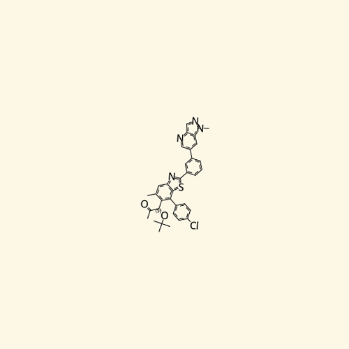 CC(=O)[C@@H](OC(C)(C)C)c1c(C)cc2nc(-c3cccc(-c4cnc5cnn(C)c5c4)c3)sc2c1-c1ccc(Cl)cc1